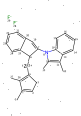 CC1=CC[C]([Zr+2][CH]2C(n3c(C)c(C)c4ccccc43)=Cc3ccccc32)=C1C.[F-].[F-]